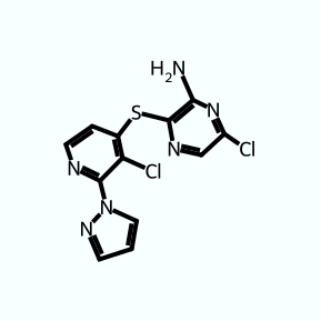 Nc1nc(Cl)cnc1Sc1ccnc(-n2cccn2)c1Cl